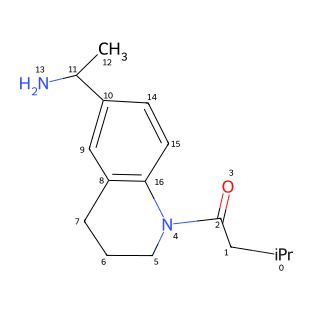 CC(C)CC(=O)N1CCCc2cc(C(C)N)ccc21